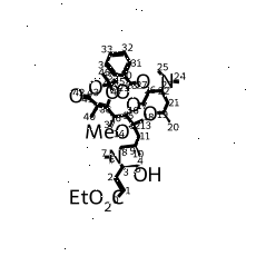 CCOC(=O)/C=C/[C@H](CO)N(C)C[C@H](C)C[C@@](C)(OC)[C@H](O[C@@H]1O[C@H](C)C[C@H](N(C)C)[C@H]1OC(=O)c1ccccc1)[C@@H](C)C1=C(C)C(=O)OC(C)(C)O1